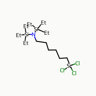 CC[Si](CC)(CC)N(CCCCCC[Si](Cl)(Cl)Cl)[Si](CC)(CC)CC